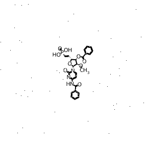 CO[C@@H]1[C@H](OC(=O)c2ccccc2)[C@@H](/C=C/P(=O)(O)O)O[C@H]1n1ccc(NC(=O)c2ccccc2)nc1=O